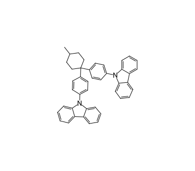 CC1CCC(c2ccc(-n3c4ccccc4c4ccccc43)cc2)(c2ccc(-n3c4ccccc4c4ccccc43)cc2)CC1